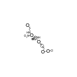 N=C(NS(=O)(=O)c1ccc(NCCSc2ccccc2)c([N+](=O)[O-])c1)c1ccc(N2CCN(Cc3ccccc3-c3ccc(Cl)cc3)CC2)cc1